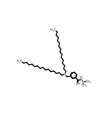 CCCCCCCCCCCCCCCCN(CCCCCCCCCCCCCCCC)Cc1cccc(C(=N)NN(C)C)c1